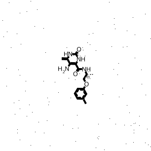 C=C1NC(=O)NC(C(=O)N[C@H](C)COc2cccc(C)c2)=C1N